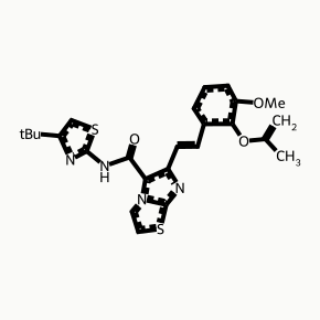 C=C(C)Oc1c(/C=C/c2nc3sccn3c2C(=O)Nc2nc(C(C)(C)C)cs2)cccc1OC